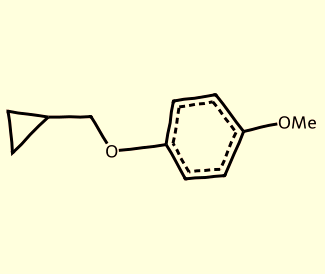 COc1ccc(OCC2CC2)cc1